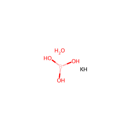 O.OB(O)O.[KH]